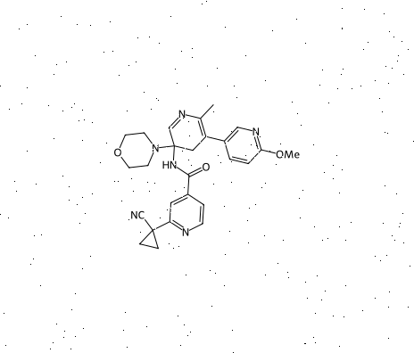 COc1ccc(C2=C(C)N=CC(NC(=O)c3ccnc(C4(C#N)CC4)c3)(N3CCOCC3)C2)cn1